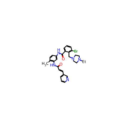 CCN1CCN(Cc2c(Br)cccc2C(=O)Nc2ccc(C)c(NC(=O)C=Cc3cccnc3)c2)CC1